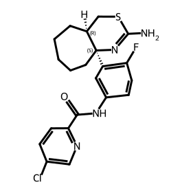 NC1=N[C@@]2(c3cc(NC(=O)c4ccc(Cl)cn4)ccc3F)CCCCC[C@H]2CS1